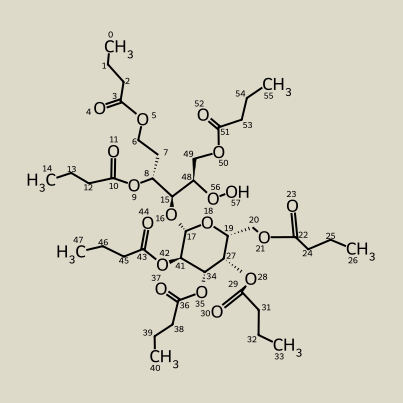 CCCC(=O)OCC[C@@H](OC(=O)CCC)[C@H](O[C@@H]1O[C@H](COC(=O)CCC)[C@H](OC(=O)CCC)[C@H](OC(=O)CCC)[C@H]1OC(=O)CCC)[C@@H](COC(=O)CCC)OO